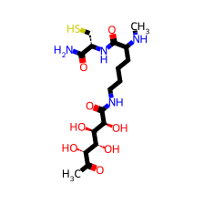 CNC(CCCCNC(=O)[C@@H](O)[C@H](O)[C@H](O)[C@@H](O)C(C)=O)C(=O)N[C@@H](CS)C(N)=O